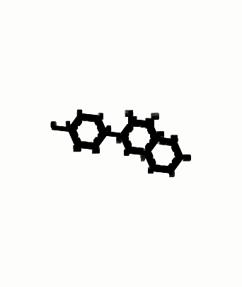 Cc1ccc(-c2cc3ccccc3nn2)cc1